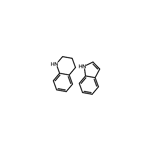 c1ccc2[nH]ccc2c1.c1ccc2c(c1)CCCN2